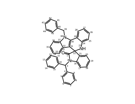 O=C1N(C(c2ccccc2)c2ccccc2)c2ccccc2C12Nc1ccccc1-c1c2c2ccccc2n1Cc1ccccc1